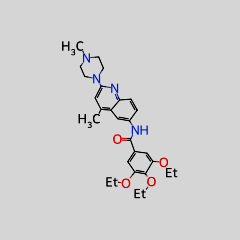 CCOc1cc(C(=O)Nc2ccc3nc(N4CCN(C)CC4)cc(C)c3c2)cc(OCC)c1OCC